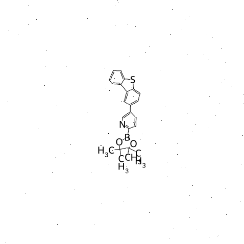 CC1(C)OB(c2ccc(-c3ccc4sc5ccccc5c4c3)cn2)OC1(C)C